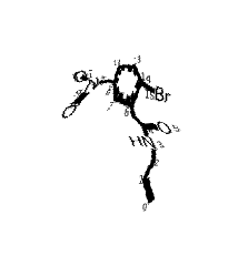 C=CCNC(=O)c1cc([N+](=O)[O-])ccc1Br